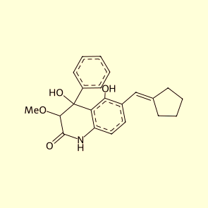 COC1C(=O)Nc2ccc(C=C3CCCC3)c(O)c2C1(O)c1ccccc1